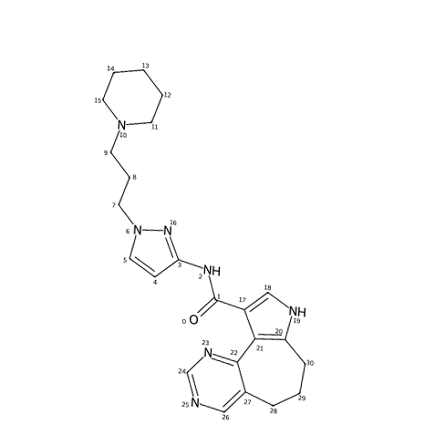 O=C(Nc1ccn(CCCN2CCCCC2)n1)c1c[nH]c2c1-c1ncncc1CCC2